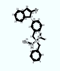 C[Si](C)[Zr]([CH2]c1ccccc1)([CH2]c1cccc([C@H]2C(Br)=Cc3ccccc32)c1)[NH]C(C)(C)C